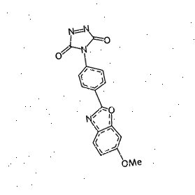 COc1ccc2nc(-c3ccc(N4C(=O)N=NC4=O)cc3)oc2c1